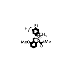 CCc1cc(C)c(OCc2c(OC)cccc2N(C)C(=O)SC)cc1C